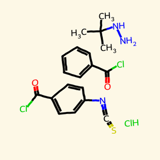 CC(C)(C)NN.Cl.O=C(Cl)c1ccc(N=C=S)cc1.O=C(Cl)c1ccccc1